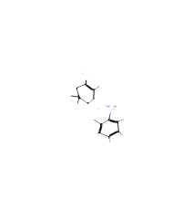 [2H]C1=C(C(=O)OCC)[C@H](S(=O)(=O)N([2H])c2c([2H])c([2H])c(F)c([2H])c2Cl)CC([2H])([2H])C1